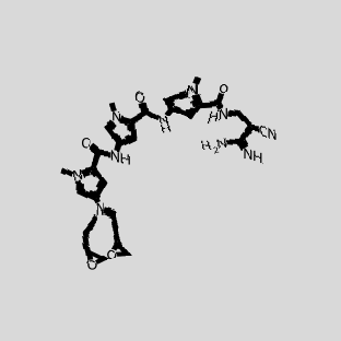 Cn1cc(NC(=O)c2cc(NC(=O)c3cc(N(CC4CO4)CC4CO4)cn3C)cn2C)cc1C(=O)NCC(C#N)C(=N)N